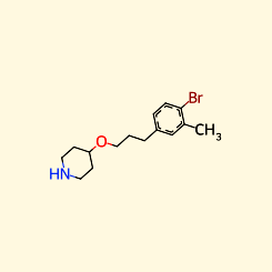 Cc1cc(CCCOC2CCNCC2)ccc1Br